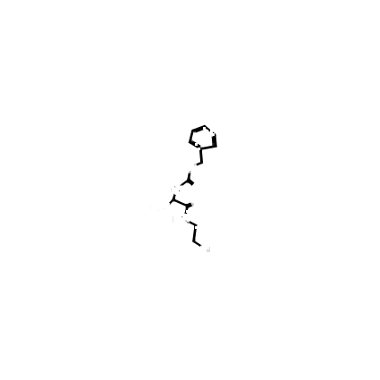 CCCCCCCCCCCCNC(=O)C(CCCC)NC(=O)OCc1ccccc1